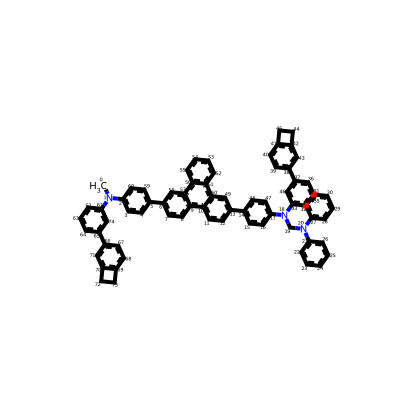 CN(c1ccc(-c2ccc3c4ccc(-c5ccc(N(CN(c6ccccc6)c6ccccc6)c6cccc(-c7ccc8c(c7)CC8)c6)cc5)cc4c4ccccc4c3c2)cc1)c1cccc(-c2ccc3c(c2)CC3)c1